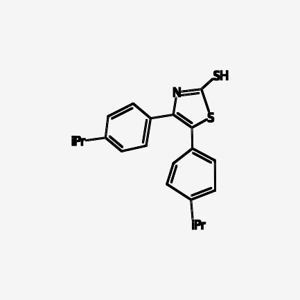 CC(C)c1ccc(-c2nc(S)sc2-c2ccc(C(C)C)cc2)cc1